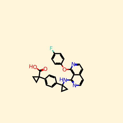 O=C(O)C1(c2ccc(C3(Nc4nccc5ccnc(Oc6ccc(F)cc6)c45)CC3)cc2)CC1